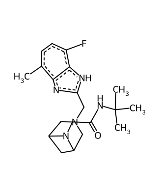 Cc1ccc(F)c2[nH]c(CN3CC4CC(C3)N4CC(=O)NC(C)(C)C)nc12